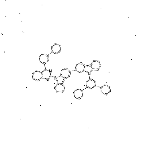 c1ccc(-c2cccc(-c3nc(-n4c5ccccc5c5cc(-c6ccc7c8ccccc8n(-c8cc(-c9ccccc9)cc(-c9ccccc9)c8)c7c6)ccc54)nc4ccccc34)c2)cc1